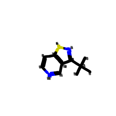 CC(C)(C)c1nsc2ccncc12